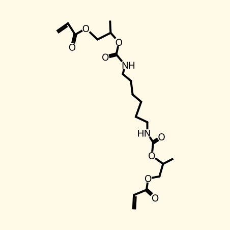 C=CC(=O)OCC(C)OC(=O)NCCCCCCNC(=O)OC(C)COC(=O)C=C